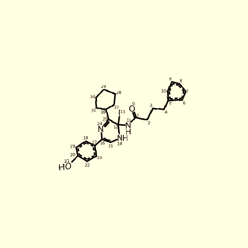 O=C(CCCc1ccccc1)NC1(I)NC=C(c2ccc(O)cc2)N=C1C1CCCCC1